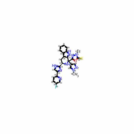 CCn1nc(C2(c3cnn(C)c3)N[C@@H](c3nc(-c4ccc(F)cn4)c[nH]3)Cc3c2[nH]c2ccccc32)oc1=S